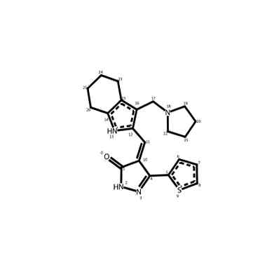 O=C1NN=C(c2cccs2)C1=Cc1[nH]c2c(c1CN1CCCC1)CCCC2